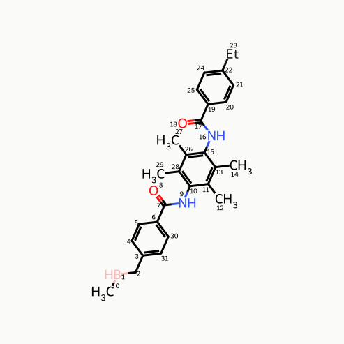 CBCc1ccc(C(=O)Nc2c(C)c(C)c(NC(=O)c3ccc(CC)cc3)c(C)c2C)cc1